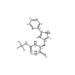 CC(C)(C)OC(=O)N[C@@H](Cc1c[nH]c(-c2ccccc2)n1)C(=O)O